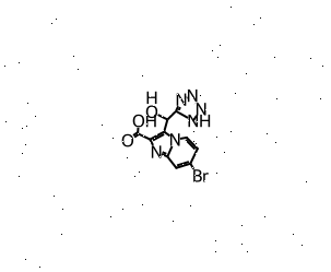 O=C(O)c1nc2cc(Br)ccn2c1C(O)c1nnn[nH]1